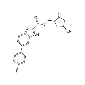 N#C[C@@H]1CN[C@H](CNC(=O)c2cc3ccc(-c4ccc(F)cc4)cc3[nH]2)C1